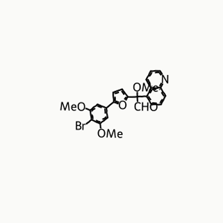 COc1cc(-c2ccc(C(C=O)(OC)c3cccc4ncccc34)o2)cc(OC)c1Br